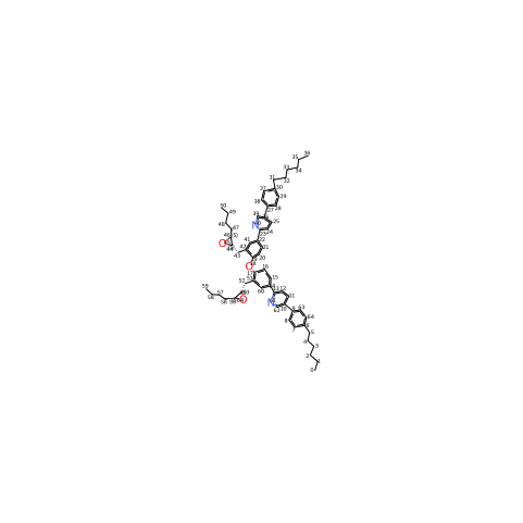 CCCCCCc1ccc(-c2ccc(-c3ccc(Oc4ccc(-c5ccc(-c6ccc(CCCCCC)cc6)cn5)cc4C[C@@H]4O[C@H]4CCCC)c(C[C@@H]4O[C@H]4CCCC)c3)nc2)cc1